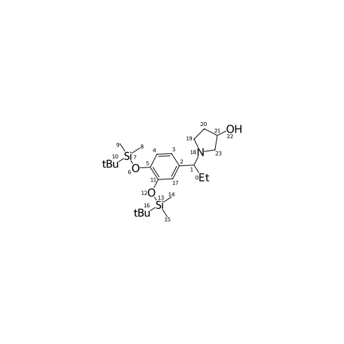 CCC(c1ccc(O[Si](C)(C)C(C)(C)C)c(O[Si](C)(C)C(C)(C)C)c1)N1CCC(O)C1